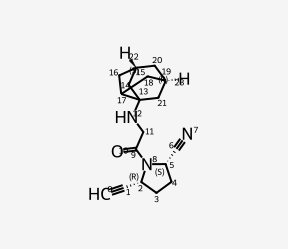 C#C[C@H]1CC[C@@H](C#N)N1C(=O)CNC12C[C@@H]3CC1C[C@@H](C3)C2